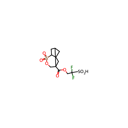 O=C(OCC(F)(F)S(=O)(=O)O)C12COS(=O)(=O)C3CC1CC3C2